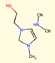 CN1C=CN(CCO)C1.N#CNC#N